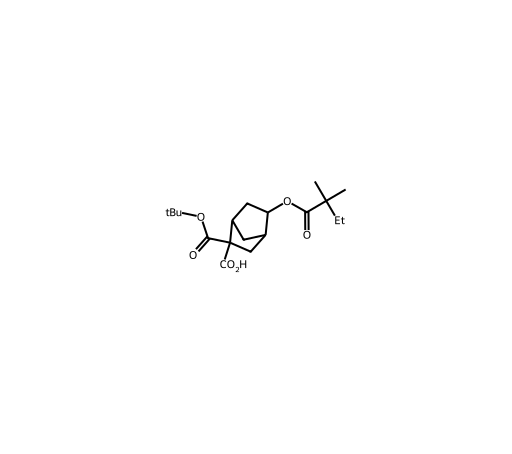 CCC(C)(C)C(=O)OC1CC2CC1CC2(C(=O)O)C(=O)OC(C)(C)C